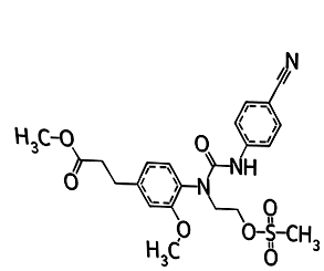 COC(=O)CCc1ccc(N(CCOS(C)(=O)=O)C(=O)Nc2ccc(C#N)cc2)c(OC)c1